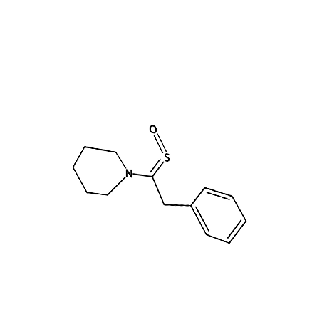 O=S=C(Cc1ccccc1)N1CCCCC1